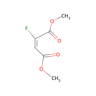 COC(=O)/C=C(/F)C(=O)OC